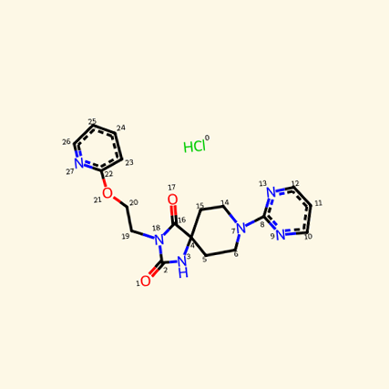 Cl.O=C1NC2(CCN(c3ncccn3)CC2)C(=O)N1CCOc1ccccn1